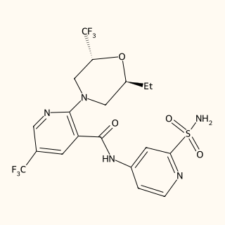 CC[C@H]1CN(c2ncc(C(F)(F)F)cc2C(=O)Nc2ccnc(S(N)(=O)=O)c2)C[C@H](C(F)(F)F)O1